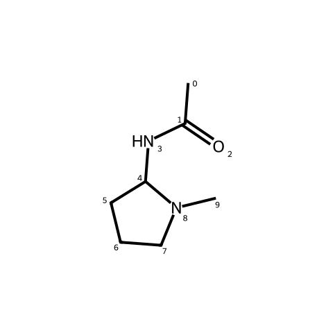 CC(=O)NC1CCCN1C